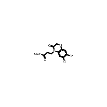 COC(=O)CCN1C(=O)COc2cc(Br)c(Cl)cc21